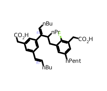 CCCC/C=C/c1cc(CC(=O)O)cc(/C(=C/CCCC)C(CCC)Cc2cc(CCCCC)cc(CC(=O)O)c2F)c1